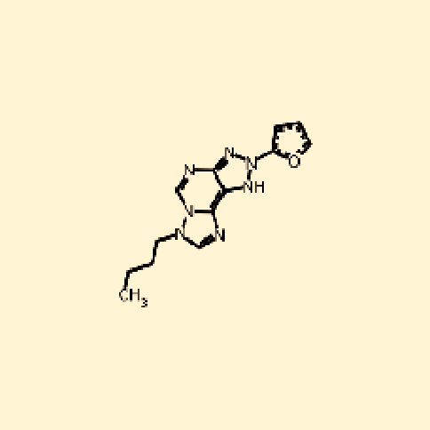 CCCCN1C=NC2=C3NN(c4ccco4)N=C3N=CN21